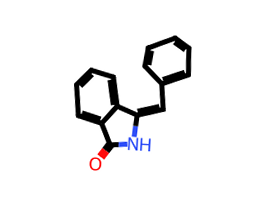 O=C1N/C(=C/c2ccccc2)c2ccccc21